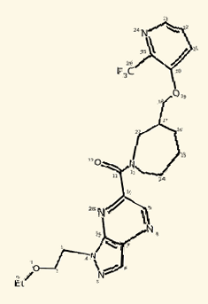 CCOCCn1ncc2ncc(C(=O)N3CCCC(COc4cccnc4C(F)(F)F)C3)nc21